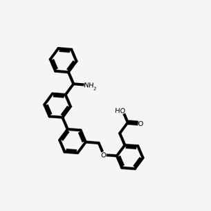 NC(c1ccccc1)c1cccc(-c2cccc(COc3ccccc3CC(=O)O)c2)c1